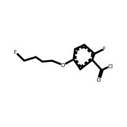 O=C(Cl)c1cc(OCCCCF)ccc1F